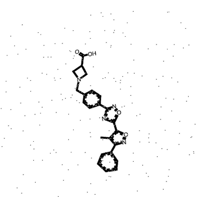 Cc1c(-c2ccccc2)noc1-c1nc(-c2ccc(CN3CC(C(=O)O)C3)cc2)no1